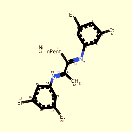 CCCCCC(=N\c1cc(CC)cc(CC)c1)/C(C)=N/c1cc(CC)cc(CC)c1.[Ni]